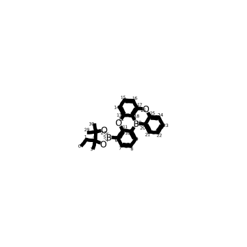 CCC1(C)OB(c2cccc3c2Oc2cccc4c2B3c2ccccc2O4)OC1(C)C